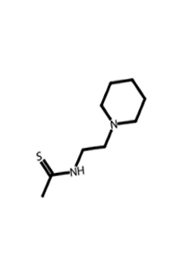 CC(=S)NCCN1CCCCC1